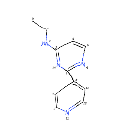 CCNc1ccnc(-c2ccncc2)n1